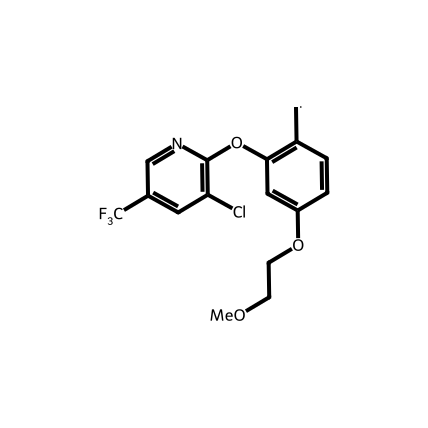 [CH2]c1ccc(OCCOC)cc1Oc1ncc(C(F)(F)F)cc1Cl